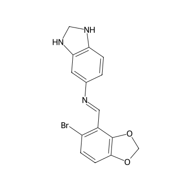 Brc1ccc2c(c1C=Nc1ccc3c(c1)NCN3)OCO2